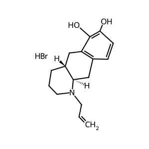 Br.C=CCN1CCC[C@@H]2Cc3c(ccc(O)c3O)C[C@H]21